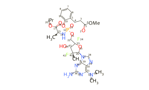 COC(=O)CCc1ccccc1OP(=O)(N[C@@H](C)C(=O)OC(C)C)OC[C@@]1(F)O[C@@H](n2cnc3c(N(C)C)nc(N)nc32)[C@](C)(F)[C@@H]1O